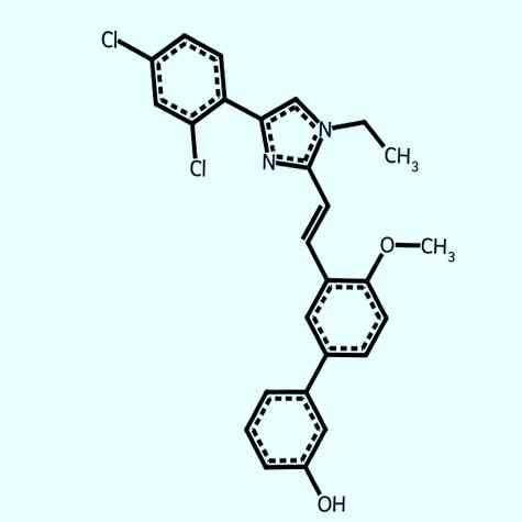 CCn1cc(-c2ccc(Cl)cc2Cl)nc1C=Cc1cc(-c2cccc(O)c2)ccc1OC